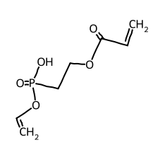 C=COP(=O)(O)CCOC(=O)C=C